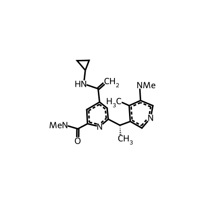 C=C(NC1CC1)c1cc(C(=O)NC)nc([C@@H](C)c2cncc(NC)c2C)c1